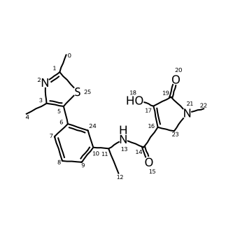 Cc1nc(C)c(-c2cccc(C(C)NC(=O)C3=C(O)C(=O)N(C)C3)c2)s1